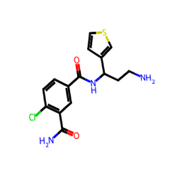 NCCC(NC(=O)c1ccc(Cl)c(C(N)=O)c1)c1ccsc1